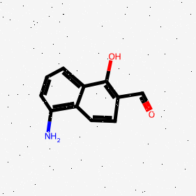 Nc1cccc2c(O)c(C=O)ccc12